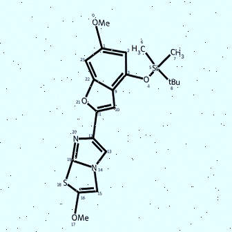 COc1cc(O[Si](C)(C)C(C)(C)C)c2cc(-c3cn4cc(OC)sc4n3)oc2c1